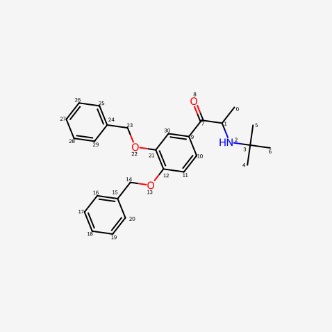 CC(NC(C)(C)C)C(=O)c1ccc(OCc2ccccc2)c(OCc2ccccc2)c1